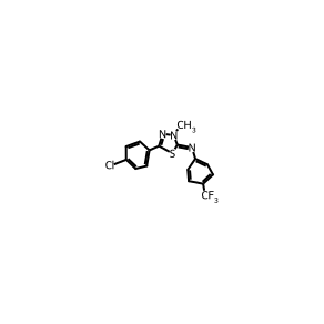 Cn1nc(-c2ccc(Cl)cc2)sc1=Nc1ccc(C(F)(F)F)cc1